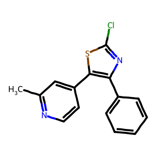 Cc1cc(-c2sc(Cl)nc2-c2ccccc2)ccn1